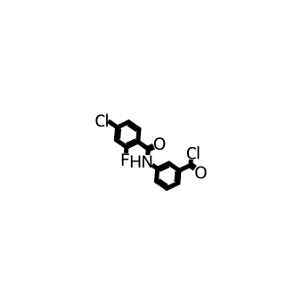 O=C(Cl)c1cccc(NC(=O)c2ccc(Cl)cc2F)c1